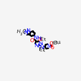 CCOc1nc(N(CC)C2CCN(C(=O)OC(C)(C)C)CC2)ncc1C(=O)Nc1ccc2nn(C)cc2c1